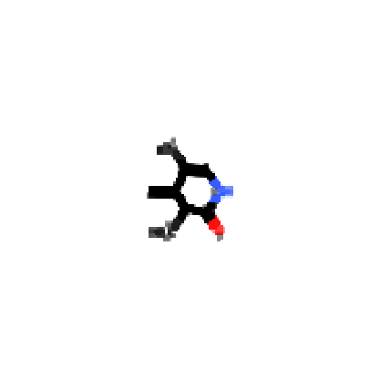 C=C1C(CCCC)=CNC(=O)C1C(=O)O